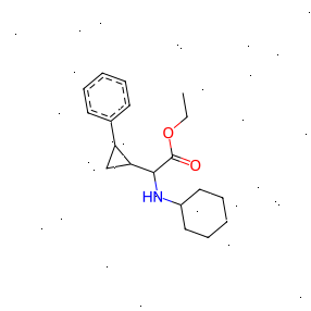 CCOC(=O)C(NC1CCCCC1)C1CC1c1ccccc1